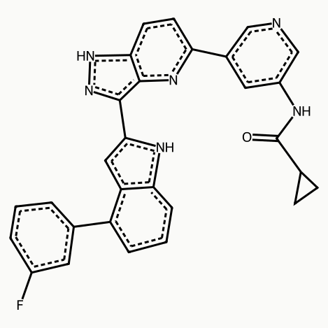 O=C(Nc1cncc(-c2ccc3[nH]nc(-c4cc5c(-c6cccc(F)c6)cccc5[nH]4)c3n2)c1)C1CC1